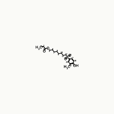 C=CC(=O)OCCCCCCCCS(=O)(=O)c1ccc(O)c(C)c1